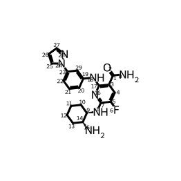 NC(=O)c1cc(F)c(N[C@@H]2CCCC[C@@H]2N)nc1Nc1cccc(-n2cccn2)c1